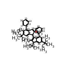 COc1c(C(C)(C)C)cc2c(c1-c1ccccc1)C=C(C)C2C1=C(C)C([SiH](C)C)c2cc(C(C)(C)C)cc(-c3ccccc3)c21